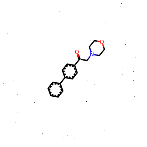 O=C(CN1CCOCC1)c1ccc(-c2ccccc2)cc1